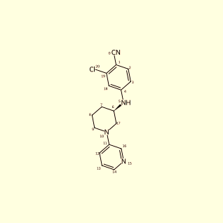 N#Cc1ccc(N[C@@H]2CCCN(c3cccnc3)C2)cc1Cl